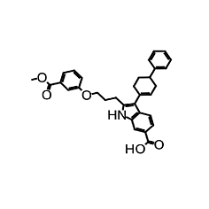 COC(=O)c1cccc(OCCCc2[nH]c3cc(C(=O)O)ccc3c2C2=CCC(c3ccccc3)CC2)c1